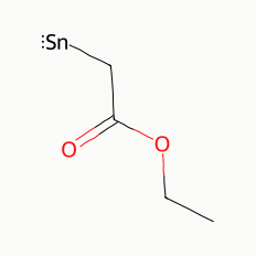 CCOC(=O)[CH2][Sn]